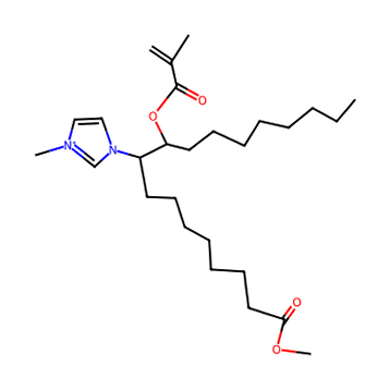 C=C(C)C(=O)OC(CCCCCCCC)C(CCCCCCCC(=O)OC)n1cc[n+](C)c1